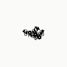 CN1CCN(c2nc(-c3c(F)cccc3OC(=O)OC(C)(C)C)c(Cl)c3c2C(=O)N2CCN(C(=O)OC(C)(C)C)C[C@@H]2CO3)CC12CC2